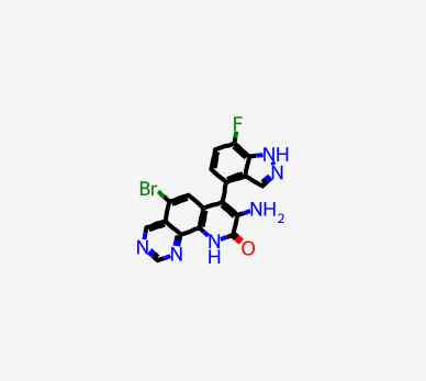 Nc1c(-c2ccc(F)c3[nH]ncc23)c2cc(Br)c3cncnc3c2[nH]c1=O